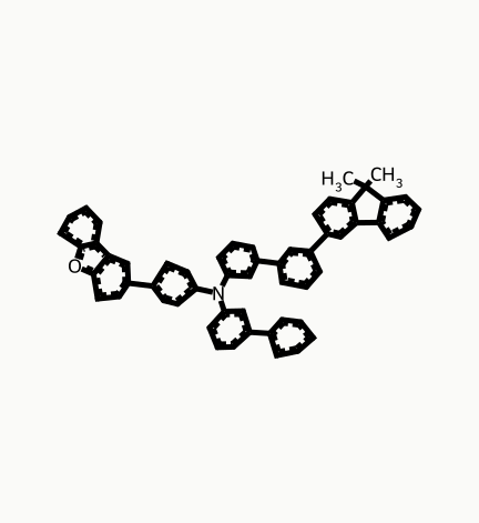 CC1(C)c2ccccc2-c2cc(-c3cccc(-c4cccc(N(c5ccc(-c6ccc7oc8ccccc8c7c6)cc5)c5cccc(-c6ccccc6)c5)c4)c3)ccc21